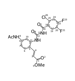 COC(=O)/C=C/c1ccc(NC(C)=O)cc1NC(=O)NC(=O)c1cc(F)c(F)cc1Cl